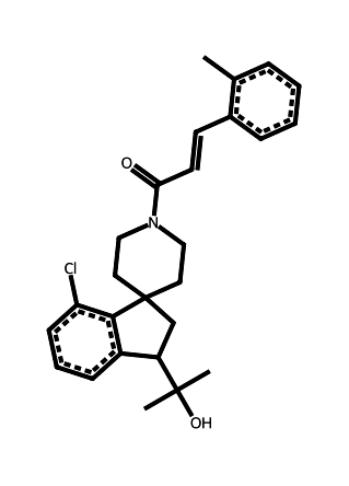 Cc1ccccc1/C=C/C(=O)N1CCC2(CC1)CC(C(C)(C)O)c1cccc(Cl)c12